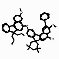 CCCC1(CCC)c2ccccc2-c2c1cc(Oc1ccc3c(c1)-c1c(cc(O)c4cc(OC)c(-c5ccccc5)cc14)C31CC(C)(C)CC(C)(C)C1)c1cc(OC)ccc21